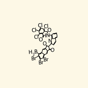 Bc1c(Br)c(Br)c(Br)c2cc3c(cc12)C(=O)C(c1ccc2cccc(NC(=O)c4c(Cl)c(Cl)c(Cl)c(Cl)c4C=O)c2n1)C3=O